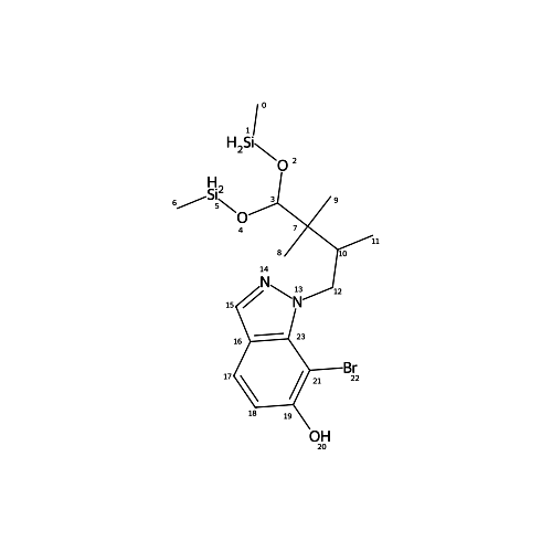 C[SiH2]OC(O[SiH2]C)C(C)(C)C(C)Cn1ncc2ccc(O)c(Br)c21